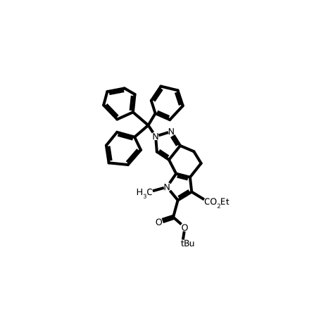 CCOC(=O)c1c2c(n(C)c1C(=O)OC(C)(C)C)-c1cn(C(c3ccccc3)(c3ccccc3)c3ccccc3)nc1CC2